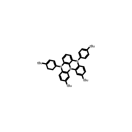 CC(C)(C)C1=CC=C(N2c3ccc(C(C)(C)C)cc3B3c4cc(C(C)(C)C)ccc4N(c4ccc(C(C)(C)C)cc4)c4cccc2c43)CC1